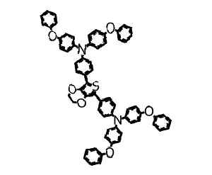 c1ccc(Oc2ccc(N(c3ccc(Oc4ccccc4)cc3)c3ccc(-c4sc(-c5ccc(N(c6ccc(Oc7ccccc7)cc6)c6ccc(Oc7ccccc7)cc6)cc5)c5c4OCCO5)cc3)cc2)cc1